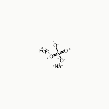 O=S(=O)([O-])[O-].[F-].[Fe+2].[Na+]